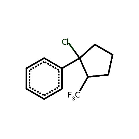 FC(F)(F)C1CCCC1(Cl)c1ccccc1